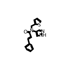 O=C(C=Cc1ccccc1)N(Cc1cccs1)c1cn[nH]c1